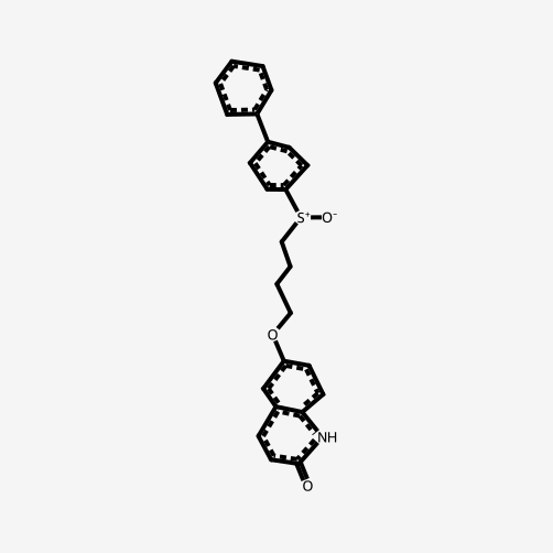 O=c1ccc2cc(OCCCC[S+]([O-])c3ccc(-c4ccccc4)cc3)ccc2[nH]1